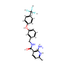 Cc1ccc(C(=O)NCc2cccc(Oc3ccc(C(F)(F)F)cc3)c2)c(N)n1